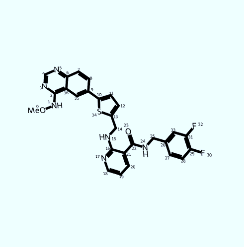 CONc1ncnc2ccc(-c3ccc(CNc4ncccc4C(=O)NCc4ccc(F)c(F)c4)s3)cc12